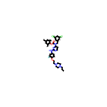 CCCN1CCN(CCOc2ccc(Nc3nccc(N(Cc4cc(Cl)cc(Cl)c4)C(=O)Oc4c(C)cc(C)cc4C)n3)cc2F)CC1